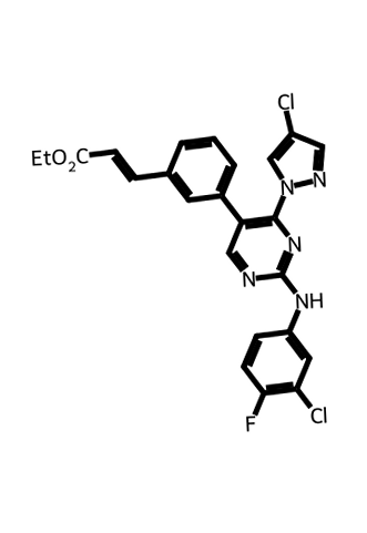 CCOC(=O)/C=C/c1cccc(-c2cnc(Nc3ccc(F)c(Cl)c3)nc2-n2cc(Cl)cn2)c1